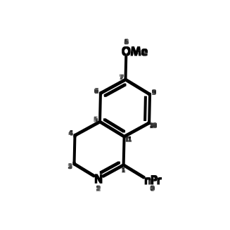 CCCC1=NCCc2cc(OC)ccc21